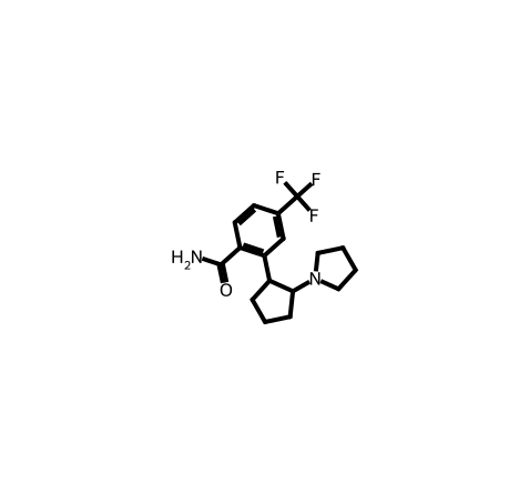 NC(=O)c1ccc(C(F)(F)F)cc1C1CCCC1N1CCCC1